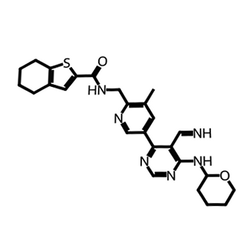 Cc1cc(-c2ncnc(NC3CCCCO3)c2C=N)cnc1CNC(=O)c1cc2c(s1)CCCC2